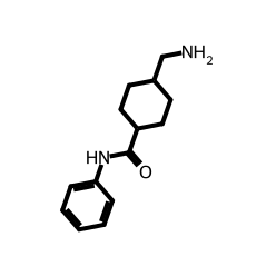 NCC1CCC(C(=O)Nc2ccccc2)CC1